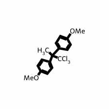 COc1ccc(C(C)(c2ccc(OC)cc2)C(Cl)(Cl)Cl)cc1